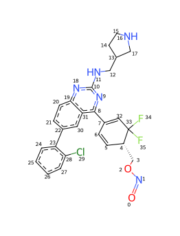 O=NOC[C@@H]1C=CC(c2nc(NCC3CCNC3)nc3ccc(-c4ccccc4Cl)cc23)=CC1(F)F